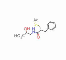 CC(=O)SC[C@H](Cc1ccccc1)C(=O)NC[C@H](O)C(=O)O